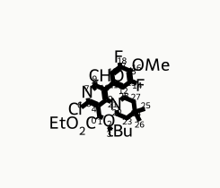 CCOC(=O)[C@@H](OC(C)(C)C)c1c(Cl)nc(C=O)c(-c2cc(F)c(OC)c(F)c2)c1N1CCC(C)(C)CC1